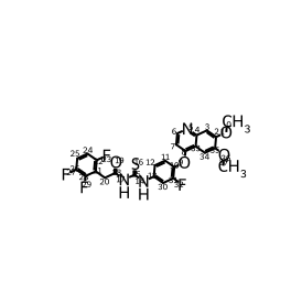 COc1cc2nccc(Oc3ccc(NC(=S)NC(=O)Cc4c(F)ccc(F)c4F)cc3F)c2cc1OC